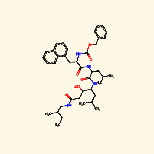 CCC(C)CNC(=O)CC(O)C(CC(C)C)NC(=O)[C@H](CC(C)C)NC(=O)[C@H](Cc1cccc2ccccc12)NC(=O)OCc1ccccc1